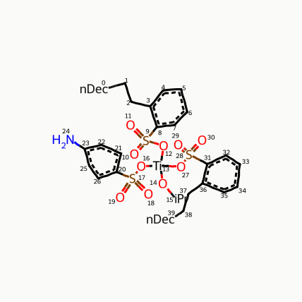 CCCCCCCCCCCCc1ccccc1S(=O)(=O)[O][Ti]([O]C(C)C)([O]S(=O)(=O)c1ccc(N)cc1)[O]S(=O)(=O)c1ccccc1CCCCCCCCCCCC